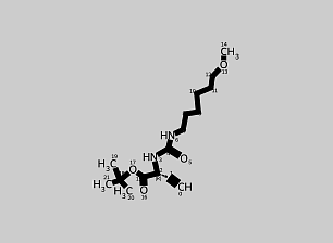 C#C[C@@H](NC(=O)NCCCCCCOC)C(=O)OC(C)(C)C